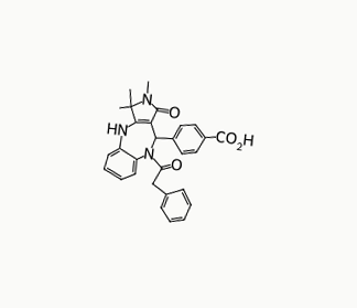 CN1C(=O)C2=C(Nc3ccccc3N(C(=O)Cc3ccccc3)C2c2ccc(C(=O)O)cc2)C1(C)C